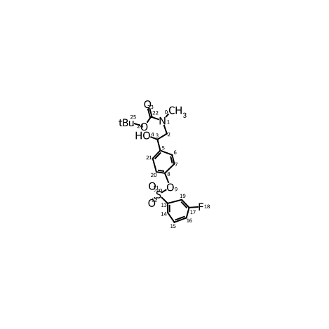 CN(CC(O)c1ccc(OS(=O)(=O)c2cccc(F)c2)cc1)C(=O)OC(C)(C)C